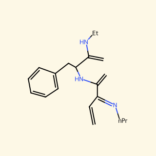 C=C/C(=N\CCC)C(=C)NC(Cc1ccccc1)C(=C)NCC